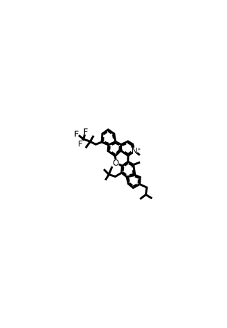 Cc1c2c(c(CC(C)(C)C)c3ccc(CC(C)C)cc13)Oc1cc3c(CC(C)(C)C(F)(F)F)cccc3c3cc[n+](C)c-2c13